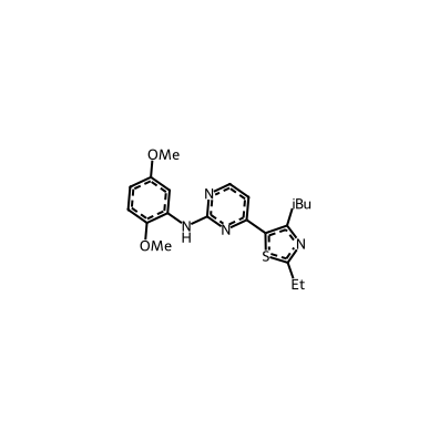 CCc1nc(C(C)CC)c(-c2ccnc(Nc3cc(OC)ccc3OC)n2)s1